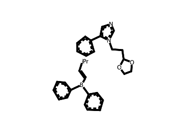 CC(C)C=CB(c1ccccc1)c1ccccc1.c1ccc(-c2cncn2CCC2OCCO2)cc1